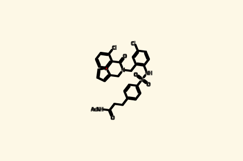 CC(=O)NC(=O)CCc1ccc(S(=O)(=O)Nc2ccc(Cl)cc2CN(Cc2ccco2)C(=O)c2ccccc2Cl)cc1